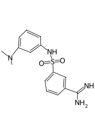 CN(C)c1cccc(NS(=O)(=O)c2cccc(C(=N)N)c2)c1